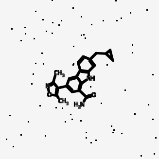 Cc1noc(C)c1-c1cc(C(N)=O)c2[nH]c3cc(CC4CC4)ccc3c2c1